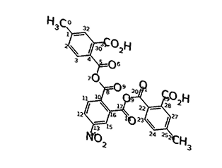 Cc1ccc(C(=O)OC(=O)c2ccc([N+](=O)[O-])cc2C(=O)OC(=O)c2ccc(C)cc2C(=O)O)c(C(=O)O)c1